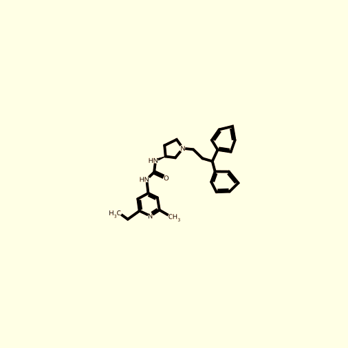 CCc1cc(NC(=O)N[C@H]2CCN(CCC(c3ccccc3)c3ccccc3)C2)cc(C)n1